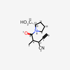 C#CC(C#N)C(C)C(=O)N1CCC[C@H]1C(=O)O